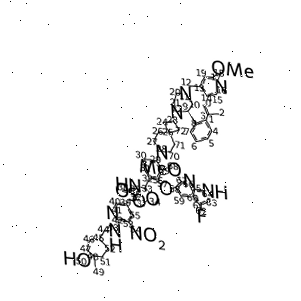 C=C(C)c1ccccc1[C@@H]1CN(Cc2ccnc(OC)c2)CCN1C1CC2(CCN(c3ccc(C(=O)NS(=O)(=O)c4cnc(NCC5CCC(C)(O)CC5)c([N+](=O)[O-])c4)c(Oc4cc5c(F)c[nH]c5nc4OC)c3)CC2)C1